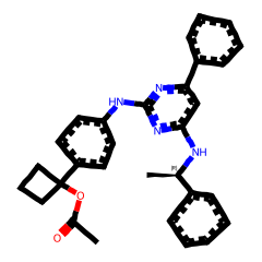 CC(=O)OC1(c2ccc(Nc3nc(N[C@H](C)c4ccccc4)cc(-c4ccccc4)n3)cc2)CCC1